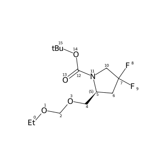 CCOCOC[C@@H]1CC(F)(F)CN1C(=O)OC(C)(C)C